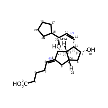 O=C(O)CCC/C=C1\C[C@H]2C[C@@H](O)[C@@H](/C=C\[C@@H](O)C3CCCC3)[C@H]2C1